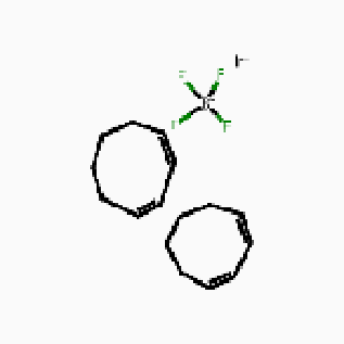 C1=C\CCCC\C=C/1.C1=C\CCCC\C=C/1.F[B-](F)(F)F.[Ir+]